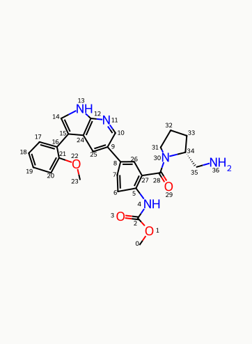 COC(=O)Nc1ccc(-c2cnc3[nH]cc(-c4ccccc4OC)c3c2)cc1C(=O)N1CCC[C@@H]1CN